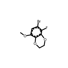 COc1cc(Br)c(F)c2c1OCCO2